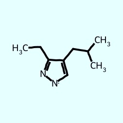 CCC1=N[N]C=C1CC(C)C